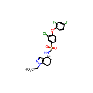 O=C(O)Cn1ncc2c1CCC[C@H]2NCS(=O)(=O)c1ccc(Oc2ccc(F)cc2F)c(Cl)c1